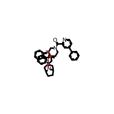 Cc1nc2ccccc2n1C1CC2CCC(C1)N2CCC1(c2ccccc2)CCN(C(=O)c2cc(-c3ccccc3)ccn2)CC1